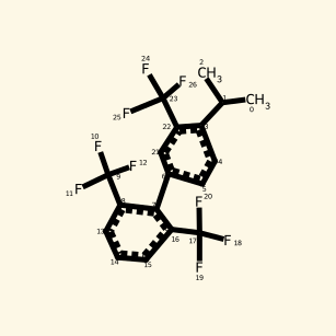 CC(C)c1ccc(-c2c(C(F)(F)F)cccc2C(F)(F)F)cc1C(F)(F)F